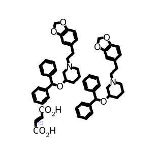 O=C(O)/C=C/C(=O)O.c1ccc(C(OC2CCCN(CCc3ccc4c(c3)OCO4)C2)c2ccccc2)cc1.c1ccc(C(OC2CCCN(CCc3ccc4c(c3)OCO4)C2)c2ccccc2)cc1